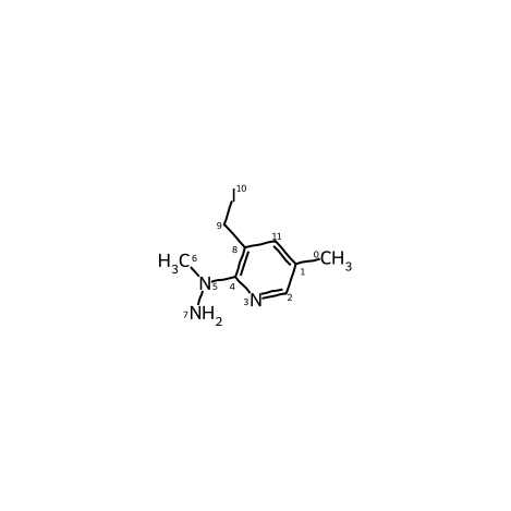 Cc1cnc(N(C)N)c(CI)c1